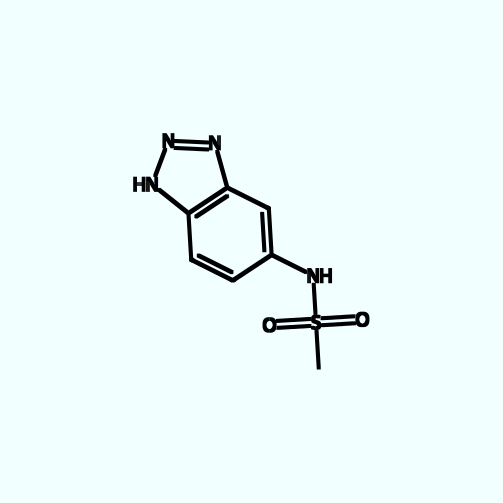 CS(=O)(=O)Nc1ccc2[nH]nnc2c1